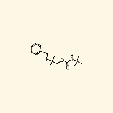 CC(C)(COC(=O)NC(C)(C)C)N=Cc1ccccc1